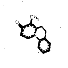 Cc1c2n(ccc1=O)-c1ccccc1CC2